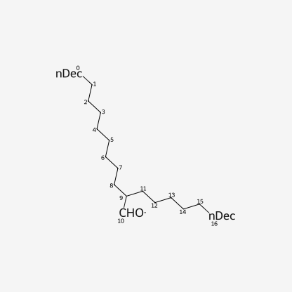 CCCCCCCCCCCCCCCCCCC([C]=O)CCCCCCCCCCCCCCC